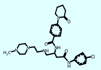 CN1CCN(CCNCC(CC(=O)Nc2ccc(Cl)cc2)NC(=O)c2ccc(N3CCCCC3=O)cc2)CC1